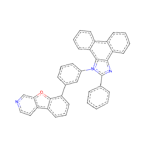 c1ccc(-c2nc3c4ccccc4c4ccccc4c3n2-c2cccc(-c3cccc4c3oc3cnccc34)c2)cc1